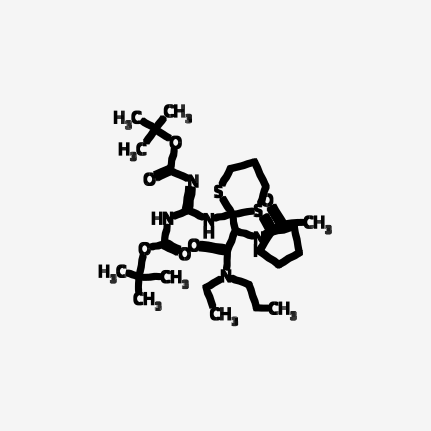 CCCN(CC)C(=O)C(NC(C)=O)C1(NC(=NC(=O)OC(C)(C)C)NC(=O)OC(C)(C)C)SCCCS1=C1CCCC1